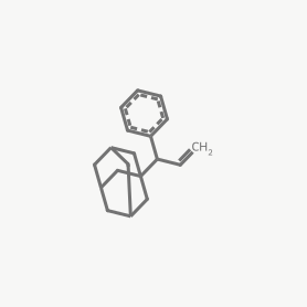 C=CC(c1ccccc1)C12CC3CC(CC(C3)C1)C2